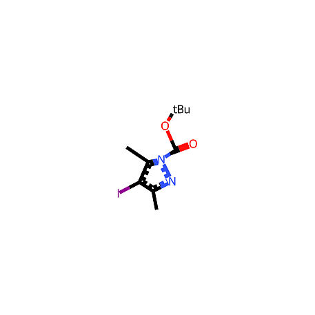 Cc1nn(C(=O)OC(C)(C)C)c(C)c1I